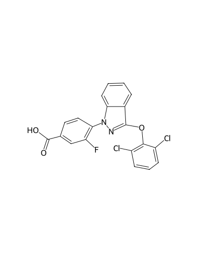 O=C(O)c1ccc(-n2nc(Oc3c(Cl)cccc3Cl)c3ccccc32)c(F)c1